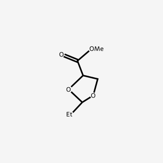 CCC1OCC(C(=O)OC)O1